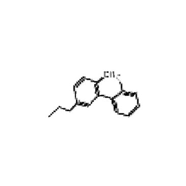 CCCc1ccc(O)c(-c2ccccc2Cl)c1